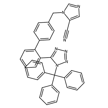 N#Cc1cncn1Cc1ccc(-c2ccccc2-c2nnnn2C(c2ccccc2)(c2ccccc2)c2ccccc2)cc1